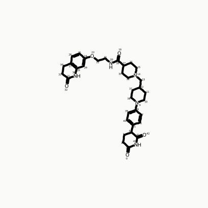 O=C1CCC(c2ccc(N3CCC(CN4CCC(C(=O)NCCOc5ccc6c(c5)NC(=O)CC6)CC4)CC3)cc2)C(=O)N1